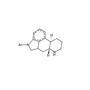 CC(=O)N1CC2C[C@H]3NCCC[C@@H]3c3cccc1c32